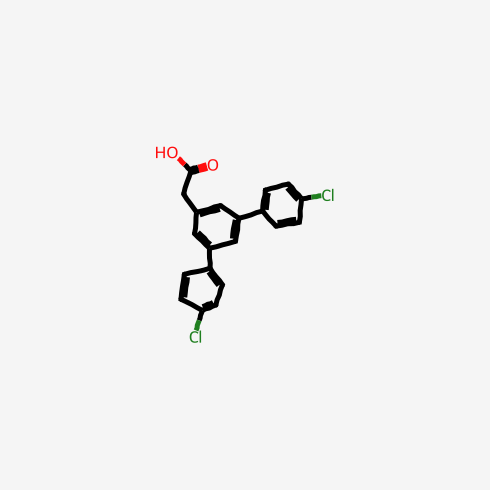 O=C(O)Cc1cc(-c2ccc(Cl)cc2)cc(-c2ccc(Cl)cc2)c1